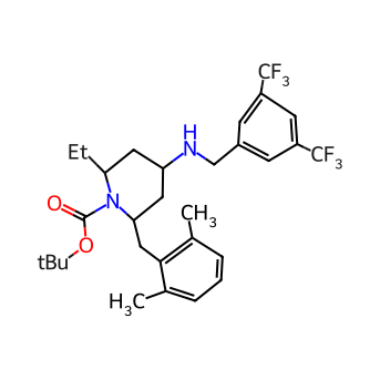 CCC1CC(NCc2cc(C(F)(F)F)cc(C(F)(F)F)c2)CC(Cc2c(C)cccc2C)N1C(=O)OC(C)(C)C